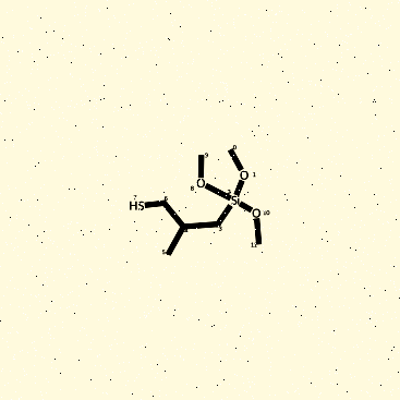 CO[Si](CC(C)CS)(OC)OC